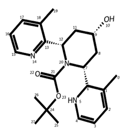 CC1=CC=CNC1[C@H]1C[C@@H](O)C[C@@H](c2ncccc2C)N1C(=O)OC(C)(C)C